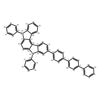 c1ccc(-c2ccc(-c3ccc(-c4ccc5c6c7c8ccccc8n(-c8ccccc8)c7ccc6n(-c6ccccc6)c5c4)cc3)cc2)cc1